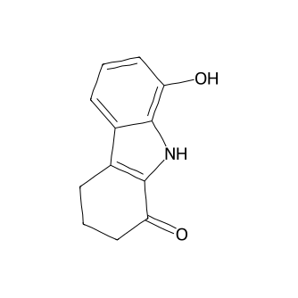 O=C1CCCc2c1[nH]c1c(O)cccc21